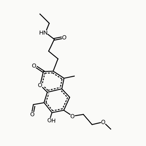 CCNC(=O)CCc1c(C)c2cc(OCCOC)c(O)c(C=O)c2oc1=O